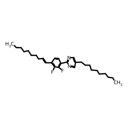 CCCCCCCC/C=C/c1ccc(-c2ncc(CCCCCCCCCC)cn2)c(F)c1F